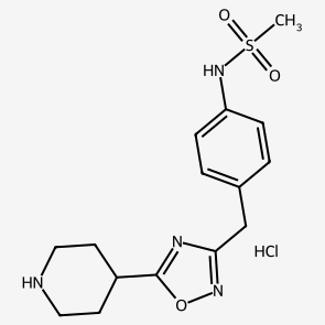 CS(=O)(=O)Nc1ccc(Cc2noc(C3CCNCC3)n2)cc1.Cl